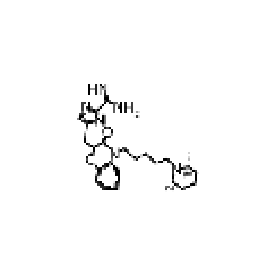 C[C@@H]1CCC[C@H](C)N1CCCCCN1C(=O)C(Cc2cnc(C(=N)N)[nH]2)Oc2ccccc21